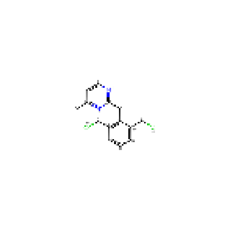 Cc1ccnc(Cc2c(CCl)cccc2CCl)n1